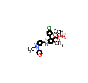 Cc1cc2nc(-c3ccc4nc(C)n(C5CCOCC5)c4c3)sc2c(-c2ccc(Cl)cc2)c1[C@H](OC(C)(C)C)C(=O)O